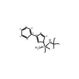 CC(C)(C)[NH][Ti]([CH3])([CH3])([SiH3])[CH]1C=CC(c2ccccc2)=C1